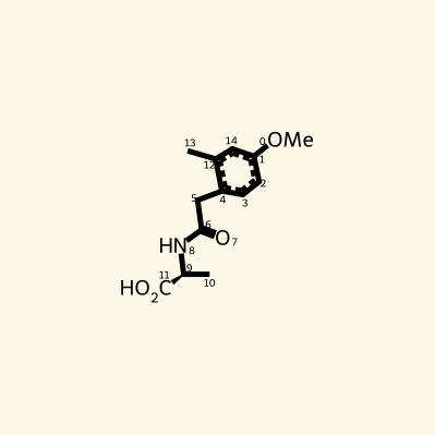 COc1ccc(CC(=O)N[C@@H](C)C(=O)O)c(C)c1